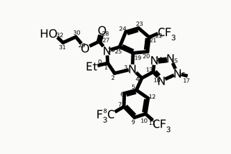 CCC1CN(C(c2cc(C(F)(F)F)cc(C(F)(F)F)c2)c2nnn(C)n2)c2cc(C(F)(F)F)ccc2N1C(=O)OCCO